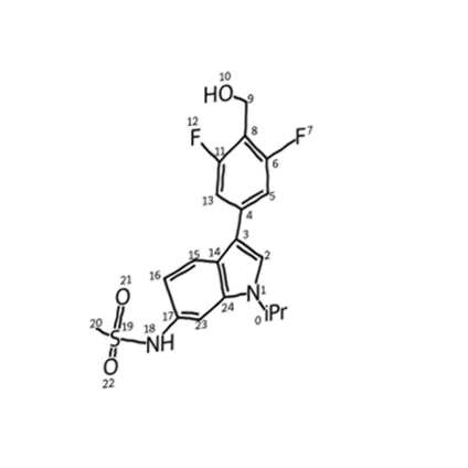 CC(C)n1cc(-c2cc(F)c(CO)c(F)c2)c2ccc(NS(C)(=O)=O)cc21